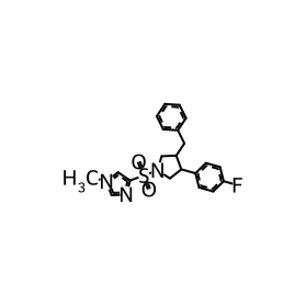 Cn1cnc(S(=O)(=O)N2CC(Cc3ccccc3)C(c3ccc(F)cc3)C2)c1